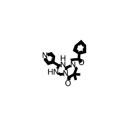 CC1(C)CN(CC(=O)c2ccccc2)C2NC(c3ccncc3)NCN2C1=O